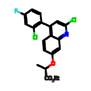 CCOC(=O)[C@@H](C)Oc1ccc2c(-c3ccc(F)cc3Cl)cc(Cl)nc2c1